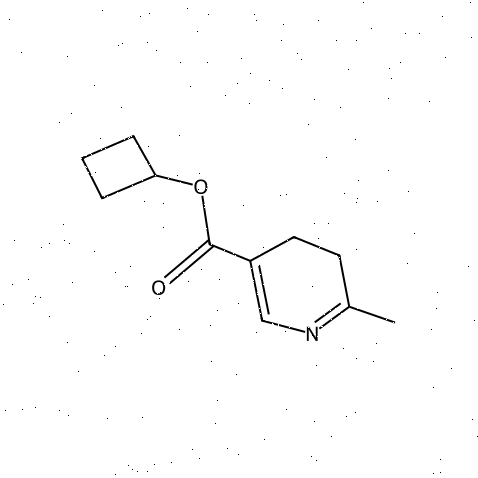 CC1=NC=C(C(=O)OC2CCC2)CC1